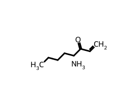 C=CC(=O)CCCCC.N